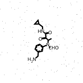 CC(C(=O)C(=O)NCC1CC1)N(C=O)c1cccc(CN)c1